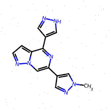 Cn1cc(-c2cn3nccc3c(-c3cn[nH]c3)n2)cn1